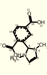 CN1C=CN(C)C1c1cc(C(=O)O)ccc1C(=O)O